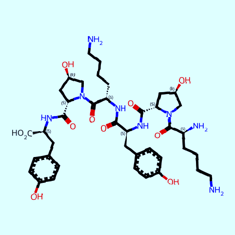 NCCCC[C@H](NC(=O)[C@H](Cc1ccc(O)cc1)NC(=O)[C@@H]1C[C@@H](O)CN1C(=O)[C@@H](N)CCCCN)C(=O)N1C[C@H](O)C[C@H]1C(=O)N[C@@H](Cc1ccc(O)cc1)C(=O)O